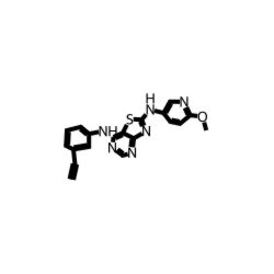 C#Cc1cccc(Nc2ncnc3nc(Nc4ccc(OC)nc4)sc23)c1